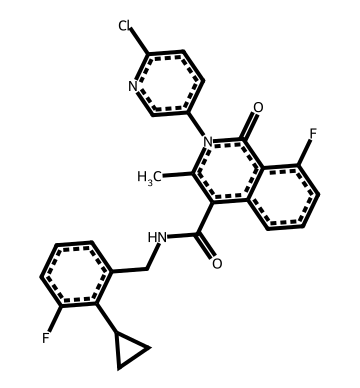 Cc1c(C(=O)NCc2cccc(F)c2C2CC2)c2cccc(F)c2c(=O)n1-c1ccc(Cl)nc1